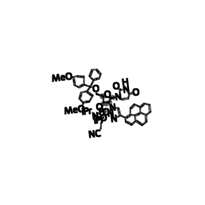 COc1ccc(C(OC[C@H]2O[C@@H](n3ccc(=O)[nH]c3=O)[C@H](n3cc(-c4ccc5ccc6cccc7ccc4c5c67)nn3)[C@@H]2OP(=O)(OCCC#N)N(C(C)C)C(C)C)(c2ccccc2)c2ccc(OC)cc2)cc1